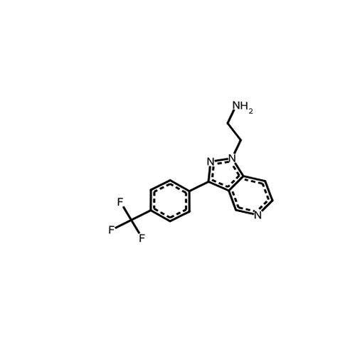 NCCn1nc(-c2ccc(C(F)(F)F)cc2)c2cnccc21